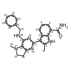 Cc1[nH]c2c(C(N)=O)cccc2c1-c1nc2c(c(NCc3ccccc3)n1)N(C)CC2